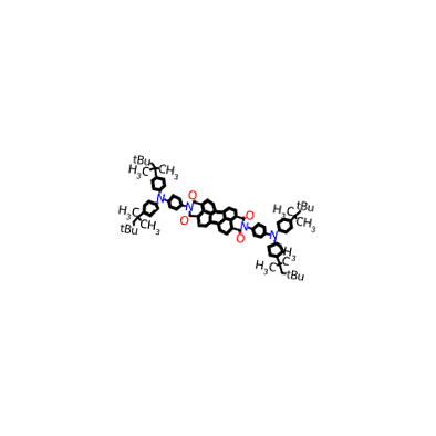 CC(C)(C)CC(C)(C)c1ccc(N(c2ccc(N3C(=O)c4ccc5c6ccc7c8c(ccc(c9ccc(c4c59)C3=O)c86)C(=O)N(c3ccc(N(c4ccc(C(C)(C)CC(C)(C)C)cc4)c4ccc(C(C)(C)CC(C)(C)C)cc4)cc3)C7=O)cc2)c2ccc(C(C)(C)CC(C)(C)C)cc2)cc1